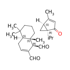 CC1(C)CCC[C@]2(C)[C@@H](C=O)C(C=O)=CC[C@@H]12.CC1=CC(=O)[C@@]2(C(C)C)C[C@@H]12